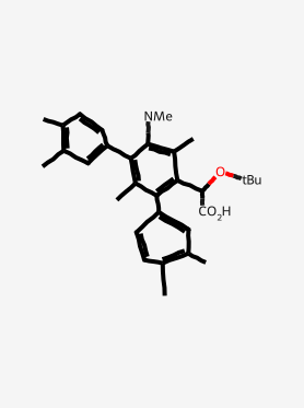 CNc1c(C)c(C(OC(C)(C)C)C(=O)O)c(-c2ccc(C)c(C)c2)c(C)c1-c1ccc(C)c(C)c1